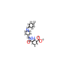 COC(=O)c1cccc(C(=O)NCC2CCN(Cc3ccc(C)cc3)CC2)c1